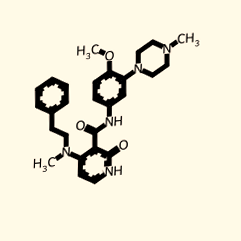 COc1ccc(NC(=O)c2c(N(C)CCc3ccccc3)cc[nH]c2=O)cc1N1CCN(C)CC1